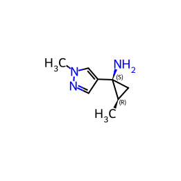 C[C@@H]1C[C@@]1(N)c1cnn(C)c1